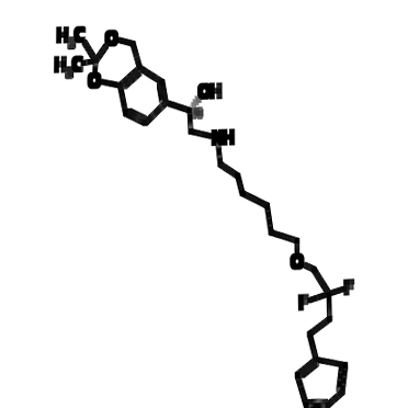 CC1(C)OCc2cc([C@H](O)CNCCCCCCOCC(F)(F)CCc3ccccc3)ccc2O1